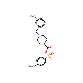 COc1ccc(S(=O)(=O)OC(=O)C2CCN(Cc3cccc(OC)c3)CC2)cc1